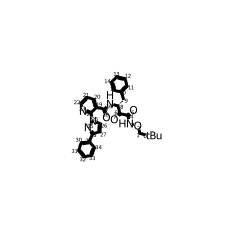 CC(C)(C)CONC(=O)C(=O)[C@@H](Cc1ccccc1)NC(=O)c1cccnc1-n1ccc(-c2ccccc2)n1